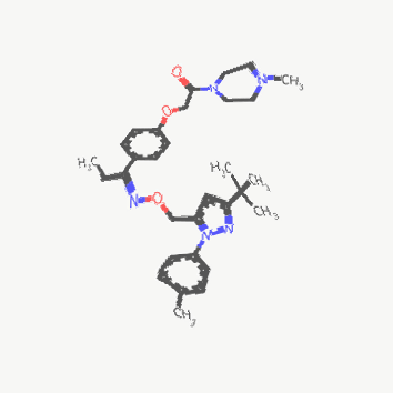 CCC(=NOCc1cc(C(C)(C)C)nn1-c1ccc(C)cc1)c1ccc(OCC(=O)N2CCN(C)CC2)cc1